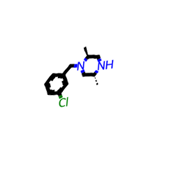 C[C@@H]1CN(Cc2cccc(Cl)c2)[C@@H](C)CN1